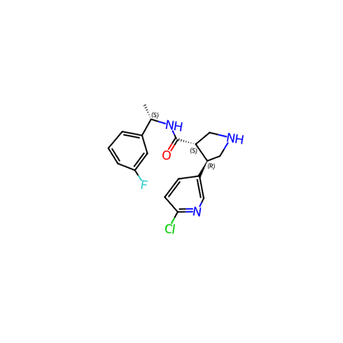 C[C@H](NC(=O)[C@@H]1CNC[C@H]1c1ccc(Cl)nc1)c1cccc(F)c1